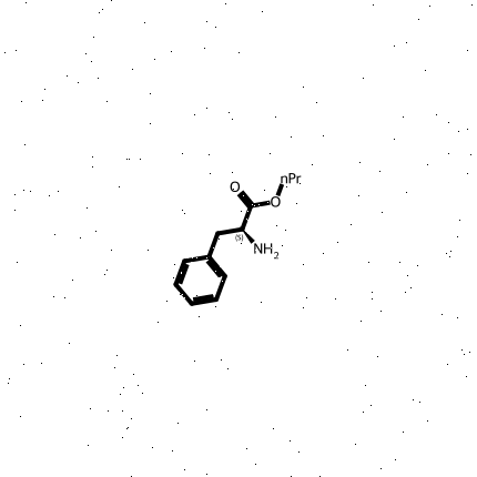 [CH2]CCOC(=O)[C@@H](N)Cc1ccccc1